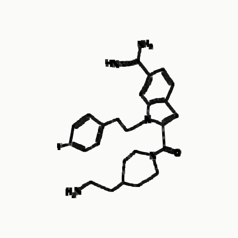 N=C(N)c1ccc2cc(C(=O)N3CCC(CCN)CC3)n(CCc3ccc(F)cc3)c2c1